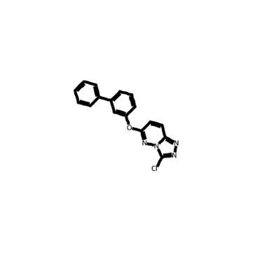 Clc1nnc2ccc(Oc3cccc(-c4ccccc4)c3)nn12